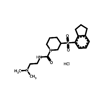 CN(C)CCNC(=O)N1CCCC(S(=O)(=O)c2cccc3c2CCC3)C1.Cl